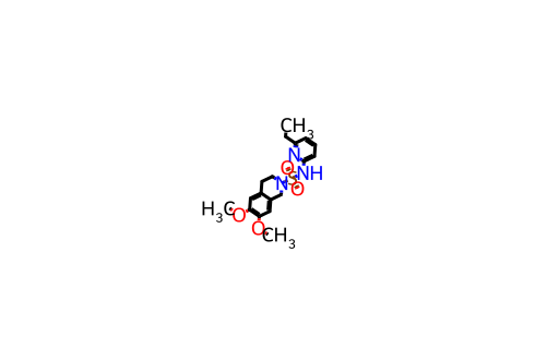 CCc1cccc(NS(=O)(=O)N2CCc3cc(OC)c(OC)cc3C2)n1